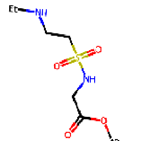 CCNCCS(=O)(=O)NCC(=O)OC(C)(C)C